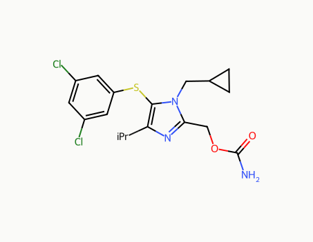 CC(C)c1nc(COC(N)=O)n(CC2CC2)c1Sc1cc(Cl)cc(Cl)c1